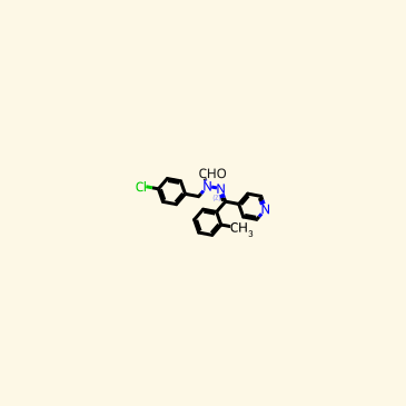 Cc1ccccc1/C(=N\N(C=O)Cc1ccc(Cl)cc1)c1ccncc1